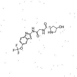 O=C(CNC(=O)[C@@H]1CC(O)CN1)Nc1nc2ccc(OC(F)(F)F)cc2s1